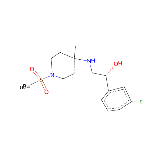 CCCCS(=O)(=O)N1CCC(C)(NC[C@H](O)c2cccc(F)c2)CC1